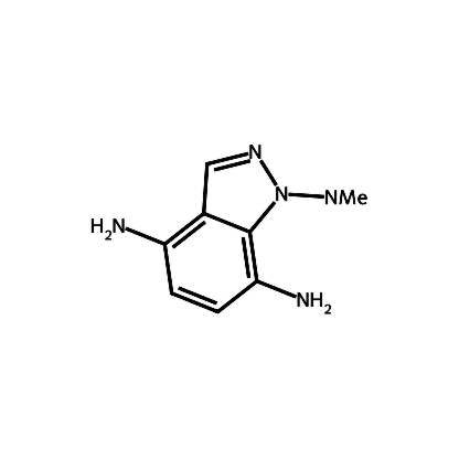 CNn1ncc2c(N)ccc(N)c21